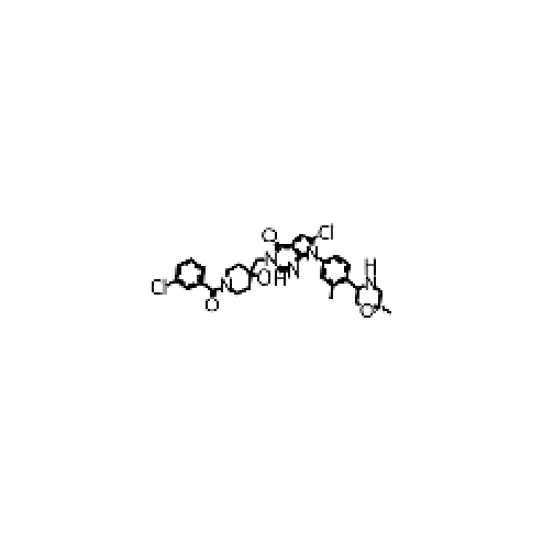 Cc1cc(-n2c(Cl)cc3c(=O)n(CC4(O)CCN(C(=O)c5cccc(Cl)c5)CC4)cnc32)ccc1C1CO[C@H](C)CN1